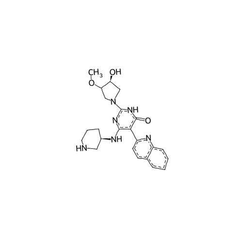 COC1CN(c2nc(N[C@@H]3CCCNC3)c(-c3ccc4ccccc4n3)c(=O)[nH]2)C[C@@H]1O